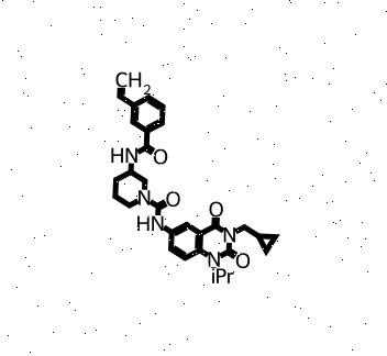 C=Cc1cccc(C(=O)NC2CCCN(C(=O)Nc3ccc4c(c3)c(=O)n(CC3CC3)c(=O)n4C(C)C)C2)c1